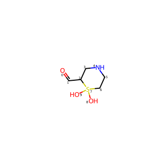 O=CC1CNCCS1(O)O